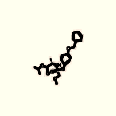 COCP(=O)(N[C@@H](C)C(=O)OC(C)C)Oc1ccc(OCc2ccccc2)cc1